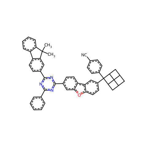 CC1(C)c2ccccc2-c2ccc(-c3nc(-c4ccccc4)nc(-c4ccc5c(c4)oc4ccc(C6(c7ccc(C#N)cc7)C7CC8CC9CC6C897)cc45)n3)cc21